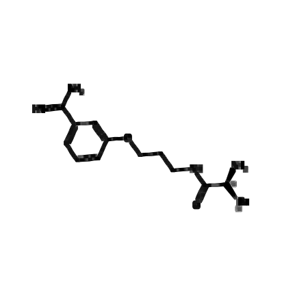 CC[C@H](C)[C@H](N)C(=O)NCCCOc1cccc(C(=N)N)c1